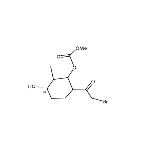 COC(=O)OC1C(C(=O)CBr)CC[C@H](O)C1C